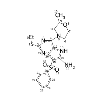 CCSc1nc(N2CCOC(C)C2)c2[nH]c(N)c(S(=O)(=O)c3ccccc3)c2n1